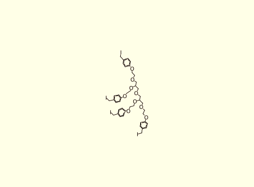 ICc1ccc(OCCOCC(COCC(COCCOc2ccc(CI)cc2)OCCOc2ccc(CI)cc2)OCCOc2ccc(CI)cc2)cc1